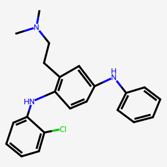 CN(C)CCc1cc(Nc2ccccc2)ccc1Nc1ccccc1Cl